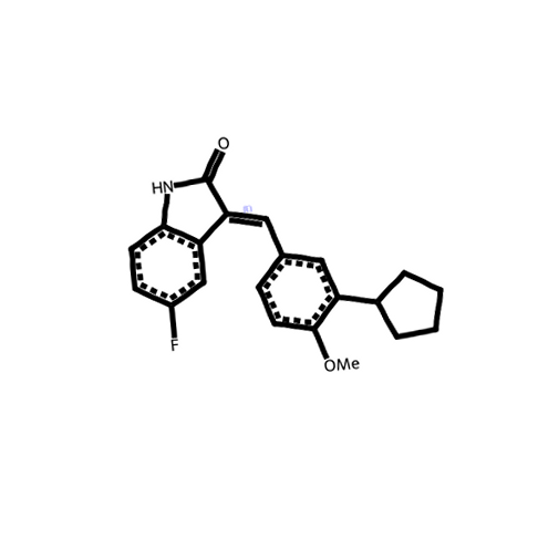 COc1ccc(/C=C2/C(=O)Nc3ccc(F)cc32)cc1C1CCCC1